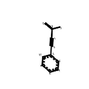 C=C(C)C#Cc1ccccc1